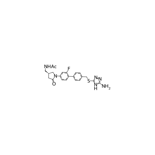 CC(=O)NC[C@@H]1CC(=O)N(c2ccc(-c3ccc(CSc4nnc(N)[nH]4)cc3)c(F)c2)C1